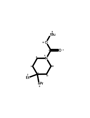 CCCC1(CC)CCN(C(=O)OC(C)(C)C)CC1